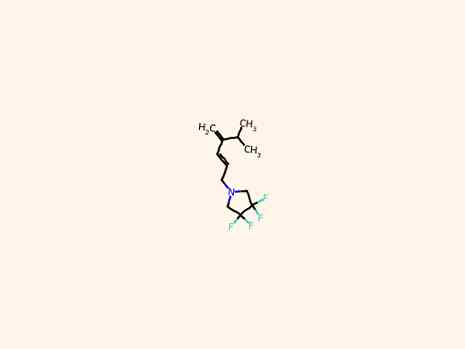 C=C(/C=C/CN1CC(F)(F)C(F)(F)C1)C(C)C